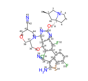 C[C@H]1CN2CCC[C@@]2(COc2nc3c4c(c(Cl)c(-c5ccc(F)c6sc(N)c(C#N)c56)c(F)c4n2)OCC2COCC(C#N)CN32)C1